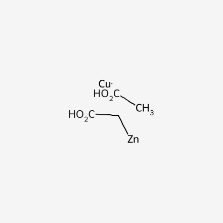 CC(=O)O.O=C(O)[CH2][Zn].[Cu]